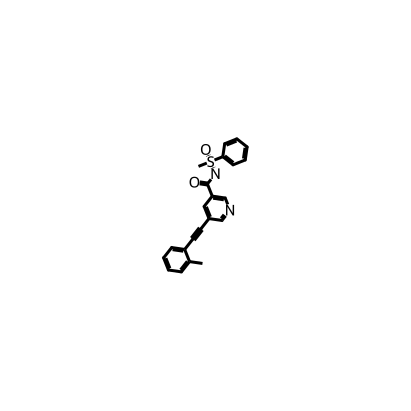 Cc1ccccc1C#Cc1cncc(C(=O)N=S(C)(=O)c2ccccc2)c1